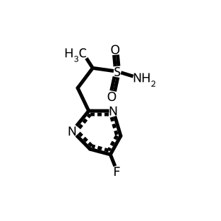 CC(Cc1ncc(F)cn1)S(N)(=O)=O